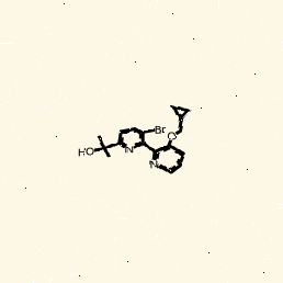 CC(C)(O)c1ccc(Br)c(-c2ncccc2OCC2CC2)n1